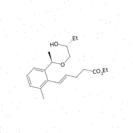 CCOC(=O)CC/C=C/c1c(C)cccc1[C@@H](C)OC[C@H](O)CC